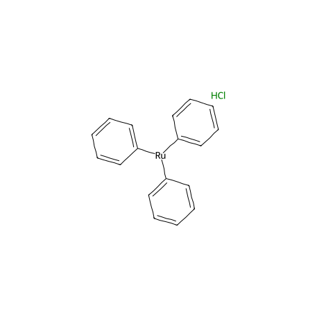 Cl.c1cc[c]([Ru]([c]2ccccc2)[c]2ccccc2)cc1